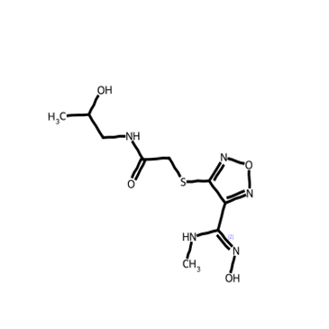 CN/C(=N\O)c1nonc1SCC(=O)NCC(C)O